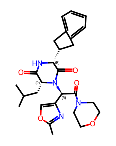 Cc1nc([C@H](C(=O)N2CCOCC2)N2C(=O)[C@@H](C3Cc4ccccc4C3)NC(=O)[C@H]2CC(C)C)co1